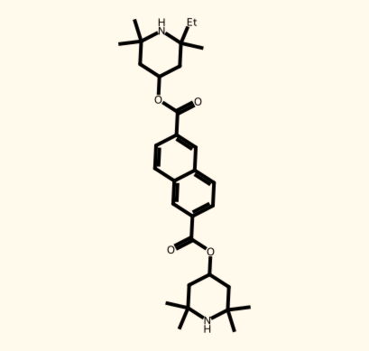 CCC1(C)CC(OC(=O)c2ccc3cc(C(=O)OC4CC(C)(C)NC(C)(C)C4)ccc3c2)CC(C)(C)N1